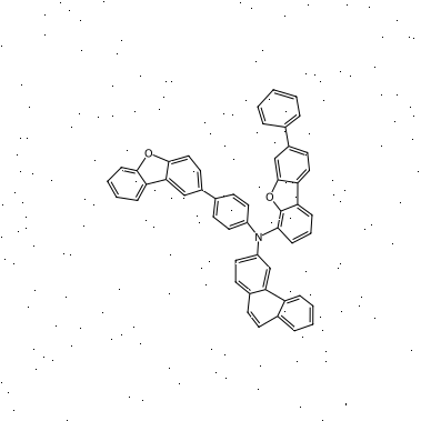 c1ccc(-c2ccc3c(c2)oc2c(N(c4ccc(-c5ccc6oc7ccccc7c6c5)cc4)c4ccc5ccc6ccccc6c5c4)cccc23)cc1